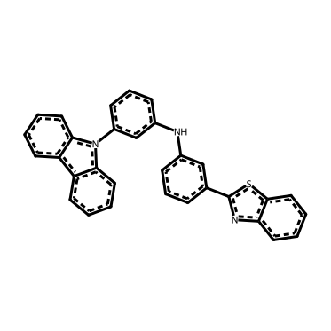 c1cc(Nc2cccc(-n3c4ccccc4c4ccccc43)c2)cc(-c2nc3ccccc3s2)c1